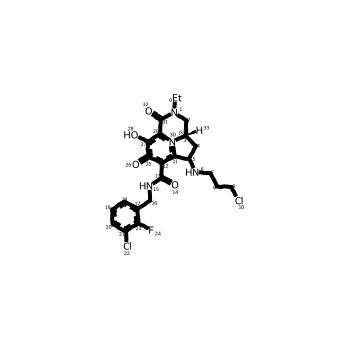 CCN1C[C@@H]2CC(NCCCCl)c3c(C(=O)NCc4cccc(Cl)c4F)c(=O)c(O)c(n32)C1=O